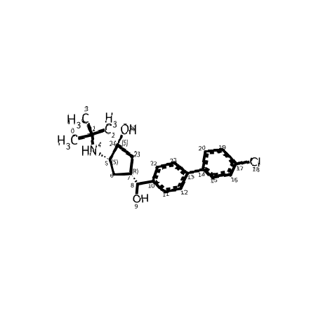 CC(C)(C)N[C@H]1C[C@@H](C(O)c2ccc(-c3ccc(Cl)cc3)cc2)C[C@@H]1O